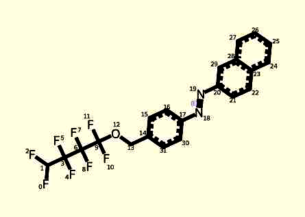 FC(F)C(F)(F)C(F)(F)C(F)(F)OCc1ccc(/N=N/c2ccc3ccccc3c2)cc1